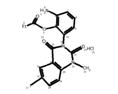 CCC(=O)Oc1c(N)cccc1-n1c(=O)c2cc(I)ccc2n(C)c1=O.Cl